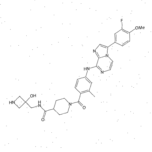 COc1ccc(-c2cnc3c(Nc4ccc(C(=O)N5CCC(C(=O)NCC6(O)CNC6)CC5)c(C)c4)nccn23)cc1F